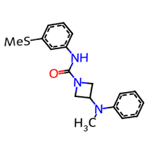 CSc1cccc(NC(=O)N2CC(N(C)c3ccccc3)C2)c1